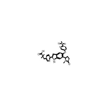 CN1C(=O)CCC1c1cc2[nH]c(-c3ccc(CC(C)(C)C(=O)O)cn3)cc2cc1Oc1ccc(S(C)(=O)=O)nc1